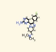 CN(C)CC1CCn2c(nc(-c3ccc(F)cc3)c2-c2ccnc(N)n2)C1